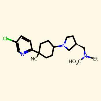 CCN(C[C@@H]1CCN(C2CCC(C#N)(c3ccc(Cl)cn3)CC2)C1)C(=O)O